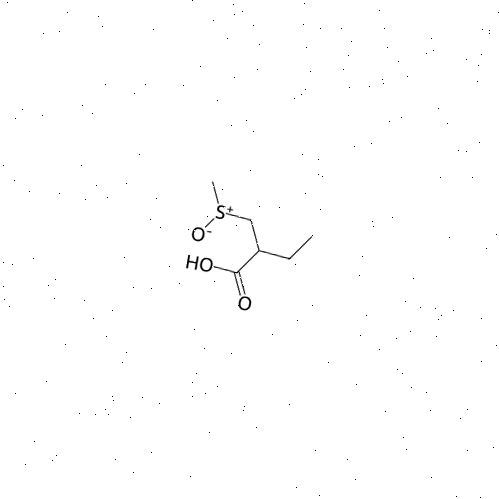 CCC(C[S+](C)[O-])C(=O)O